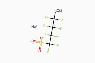 CCCCCCCCC(F)(F)C(F)(F)C(F)(F)C(F)(F)S(=O)(=O)[O-].[Na+]